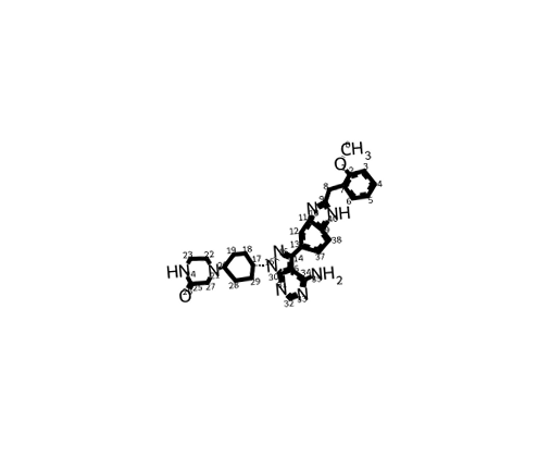 COc1ccccc1Cc1nc2cc(-c3nn([C@H]4CC[C@H](N5CCNC(=O)C5)CC4)c4ncnc(N)c34)ccc2[nH]1